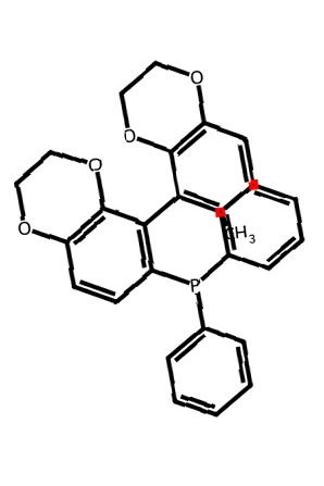 Cc1ccc2c(c1-c1c(P(c3ccccc3)c3ccccc3)ccc3c1OCCO3)OCCO2